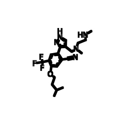 CNCCN(C)Cc1c[nH]nc1-c1cc(C(F)(F)F)c(OCCC(C)C)cc1C#N